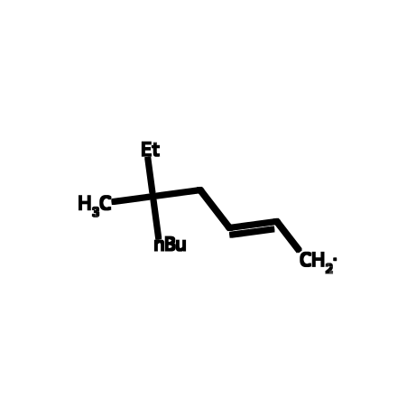 [CH2]C=CCC(C)(CC)CCCC